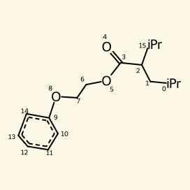 CC(C)CC(C(=O)OCCOc1ccccc1)C(C)C